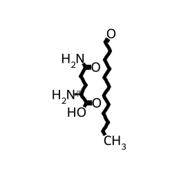 CCCCCCCCCCCC=O.NC(=O)CC[C@H](N)C(=O)O